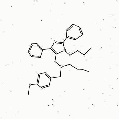 CCCCN(Cc1ccc(SC)cc1)Cc1c(-c2ccccc2)nc(-c2ccccc2)n1CCCC